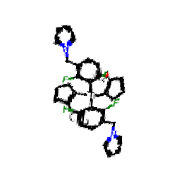 CC1=[C]([Ti]([C]2=C(C)C=CC2)([c]2c(F)ccc(Cn3cccc3)c2F)[c]2c(F)ccc(Cn3cccc3)c2F)CC=C1